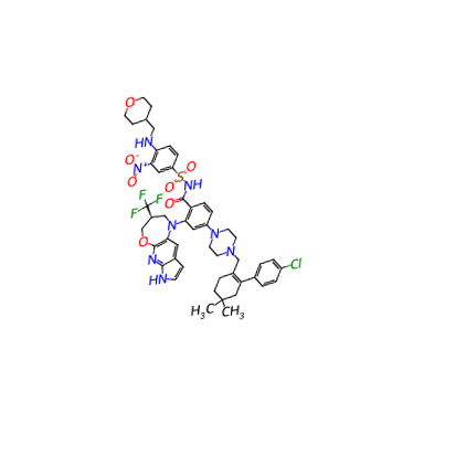 CC1(C)CCC(CN2CCN(c3ccc(C(=O)NS(=O)(=O)c4ccc(NCC5CCOCC5)c([N+](=O)[O-])c4)c(N4C[C@H](C(F)(F)F)COc5nc6[nH]ccc6cc54)c3)CC2)=C(c2ccc(Cl)cc2)C1